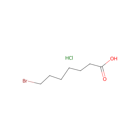 Cl.O=C(O)CCCCCCBr